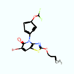 CCCOc1nc2c(cc(Br)c(=O)n2-c2ccc(OC(F)F)cc2)s1